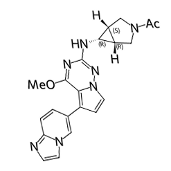 COc1nc(N[C@@H]2[C@@H]3CN(C(C)=O)C[C@@H]32)nn2ccc(-c3ccc4nccn4c3)c12